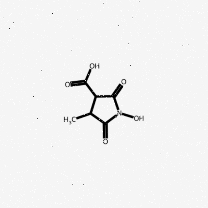 CC1C(=O)N(O)C(=O)C1C(=O)O